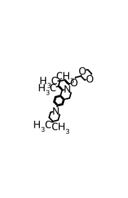 CC1=C2c3ccc(N4CCC(C)(C)CC4)cc3CCN2C(OCC2COCCO2)=CC1(C)C